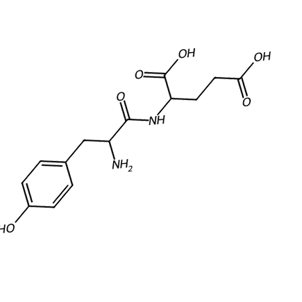 NC(Cc1ccc(O)cc1)C(=O)NC(CCC(=O)O)C(=O)O